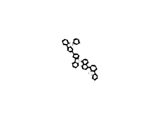 c1ccc(-n2c3ccccc3c3ccc(-c4ccc5c(c4)c4ccccc4n5-c4cccc5c(-c6cccc7c6oc6ccccc67)cccc45)cc32)cc1